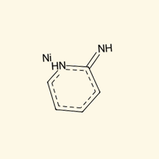 N=c1cccc[nH]1.[Ni]